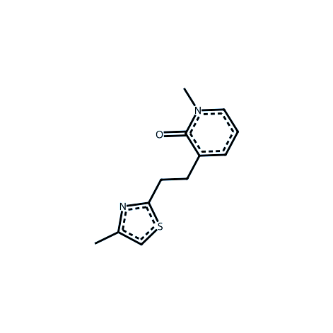 Cc1csc(CCc2cccn(C)c2=O)n1